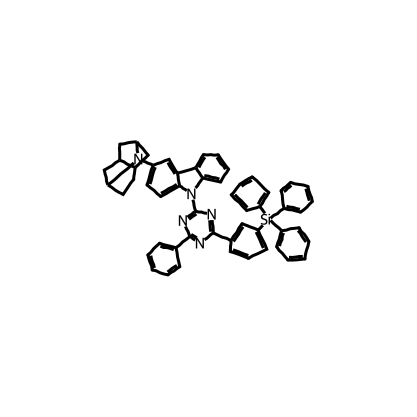 c1ccc(-c2nc(-c3cccc([Si](c4ccccc4)(c4ccccc4)c4ccccc4)c3)nc(-n3c4ccccc4c4cc(N5C6CCC7CC5CC7C6)ccc43)n2)cc1